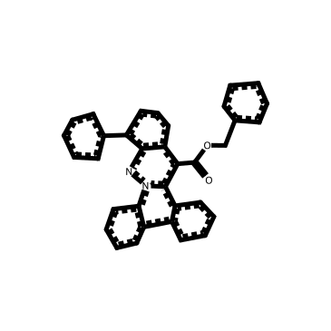 O=C(OCc1ccccc1)c1c2cccc(-c3ccccc3)c2n[n+]2c3ccccc3c3ccccc3c12